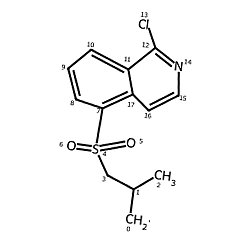 [CH2]C(C)CS(=O)(=O)c1cccc2c(Cl)nccc12